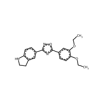 CCOc1ccc(-c2nc(-c3ccc4c(c3)CCN4)no2)cc1OCC